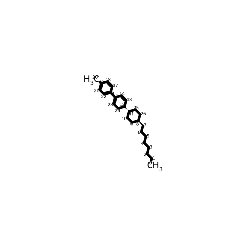 CCCCCCCC[C@H]1CC[C@H](C2C=CC(c3ccc(C)cc3)=CC2)CC1